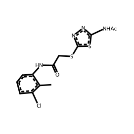 CC(=O)Nc1nnc(SCC(=O)Nc2cccc(Cl)c2C)s1